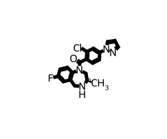 C[C@@H]1CN(C(=O)c2ccc(-n3cccn3)cc2Cl)c2ccc(F)cc2CN1